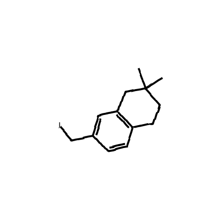 CC1(C)CCc2ccc(CI)cc2C1